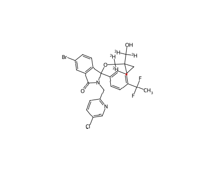 [2H]C([2H])(O)C1(C([2H])([2H])OC2(c3ccc(C(C)(F)F)cc3)c3ccc(Br)cc3C(=O)N2Cc2ccc(Cl)cn2)CC1